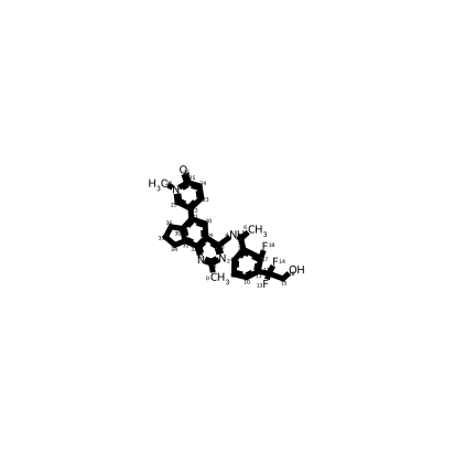 Cc1nc(NC(C)c2cccc(C(F)(F)CO)c2F)c2cc(-c3ccc(=O)n(C)c3)c3c(c2n1)CCC3